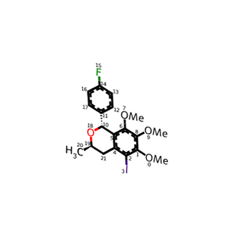 COc1c(I)c2c(c(OC)c1OC)[C@@H](c1ccc(F)cc1)O[C@H](C)C2